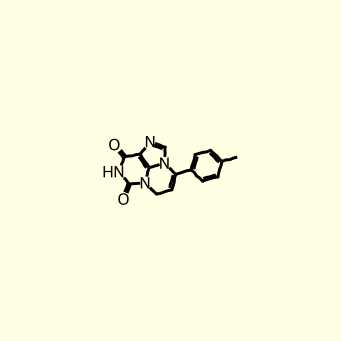 Cc1ccc(C2=CCn3c(=O)[nH]c(=O)c4ncn2c43)cc1